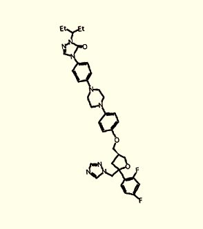 CCC(CC)n1ncn(-c2ccc(N3CCN(c4ccc(OC[C@H]5COC(Cn6cncn6)(c6ccc(F)cc6F)C5)cc4)CC3)cc2)c1=O